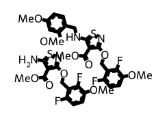 COC(=O)c1c(OCc2c(F)ccc(OC)c2F)nsc1N.COC(=O)c1c(OCc2c(F)ccc(OC)c2F)nsc1NCc1ccc(OC)cc1OC